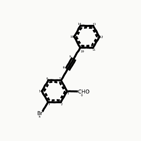 O=Cc1cc(Br)ccc1C#Cc1ccccc1